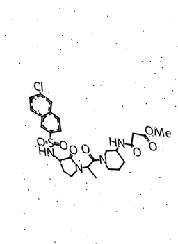 COC(=O)CC(=O)NC1CCCN(C(=O)C(C)N2CCC(NS(=O)(=O)c3ccc4cc(Cl)ccc4c3)C2=O)C1